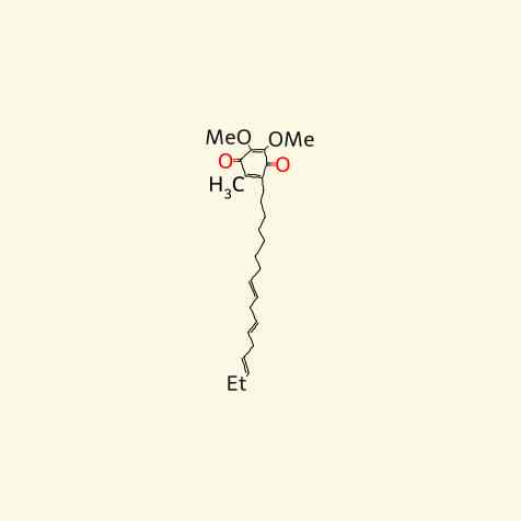 CCC=CCC=CCC=CCCCCCCCC1=C(C)C(=O)C(OC)=C(OC)C1=O